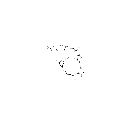 COc1cc2cc(c1Cl)N(C)C(=O)C[C@H](OC(=O)[C@H](C)N(C)C(=O)CCSC1CC(=O)N(CC3CCC(C(C)=O)CC3)C1=O)C1(C)O[C@H]1[C@H](C)[C@@H]1C[C@@](O)(NC(=O)O1)[C@H](OC)/C=C/C=C(\C)C2